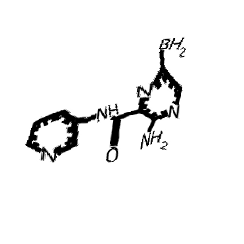 Bc1cnc(N)c(C(=O)Nc2cccnc2)n1